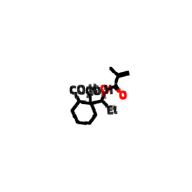 C=C(C)C(=O)OC(CC)C1(C(=O)O)CCCCC1C(=O)O